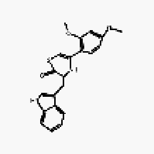 COc1ccc(C2=CSC(=O)[C@H](Cc3c[nH]c4ccccc34)N2)c(OC)c1